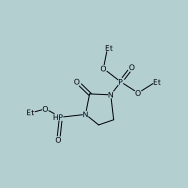 CCO[PH](=O)N1CCN(P(=O)(OCC)OCC)C1=O